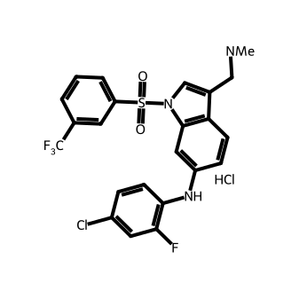 CNCc1cn(S(=O)(=O)c2cccc(C(F)(F)F)c2)c2cc(Nc3ccc(Cl)cc3F)ccc12.Cl